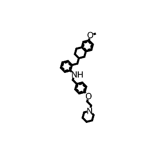 COc1ccc2c(c1)CCC(Cc1ccccc1NCc1ccc(OCCN3CCCCC3)cc1)C2